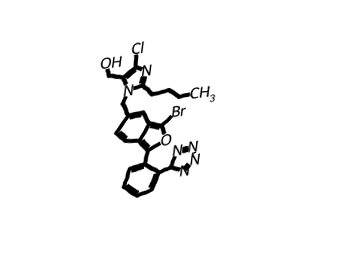 CCCCc1nc(Cl)c(CO)n1Cc1ccc2c(-c3ccccc3C3N=NN=N3)oc(Br)c2c1